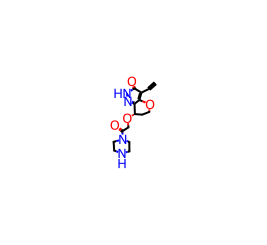 C#Cc1c2c(n[nH]c1=O)[C@H](OCC(=O)N1CCNCC1)CCO2